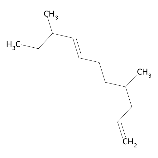 C=CCC(C)CCC=CC(C)CC